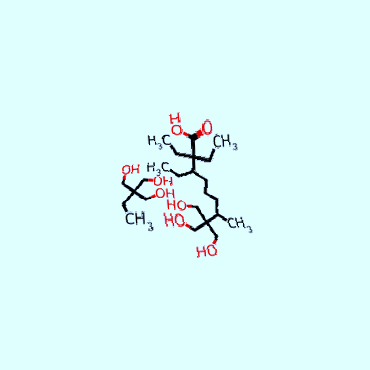 CCC(CCCC(C)C(CO)(CO)CO)C(CC)(CC)C(=O)O.CCC(CO)(CO)CO